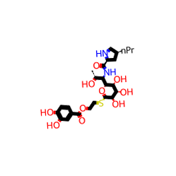 CCC[C@H]1CN[C@H](C(=O)N[C@@H]([C@H]2O[C@H](SCCOC(=O)c3ccc(O)c(O)c3)[C@H](O)[C@@H](O)[C@H]2O)[C@@H](C)O)C1